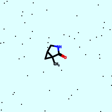 CC12CC1CNC2=O